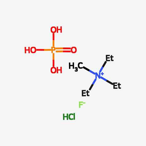 CC[N+](C)(CC)CC.Cl.O=P(O)(O)O.[F-]